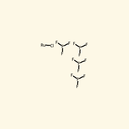 FP(F)F.FP(F)F.FP(F)F.FP(F)F.[Cl][Ru]